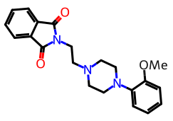 COc1ccccc1N1CCN(CCN2C(=O)c3ccccc3C2=O)CC1